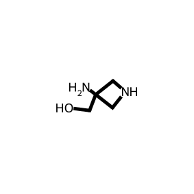 NC1(CO)CNC1